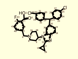 O=C(O)c1cc(CN2CCC(n3c(C4CC4)nc4ccc(C(c5ccc(Cl)cc5)c5ccc(Cl)cc5)cc43)CC2)ccc1F